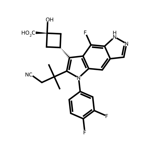 CC(C)(CC#N)c1c([C@H]2C[C@](O)(C(=O)O)C2)c2c(F)c3[nH]ncc3cc2n1-c1ccc(F)c(F)c1